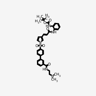 CN(C)CCNC(=O)c1cccc(-c2ccc(S(=O)(=O)n3ccc(C=CC(=O)Nc4ccccc4NC(=O)OC(C)(C)C)c3)cc2)c1